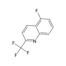 Fc1cccc2nc(C(F)(F)F)ccc12